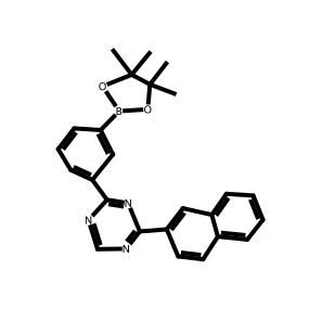 CC1(C)OB(c2cccc(-c3ncnc(-c4ccc5ccccc5c4)n3)c2)OC1(C)C